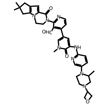 CC1CN(C2COC2)CCN1c1ccc(Nc2cc(-c3ccnc(N4CCn5c(cc6c5CC(C)(C)C6)C4=O)c3C=O)cn(C)c2=O)nc1